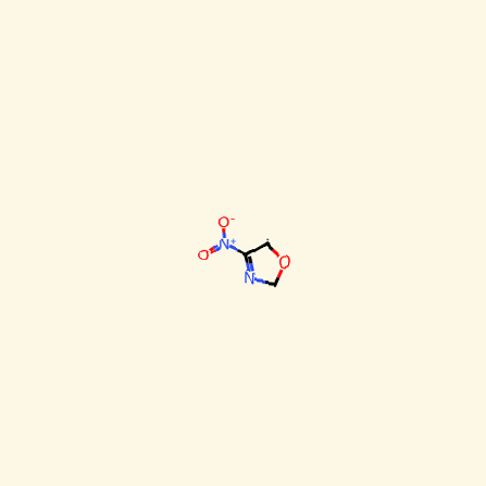 O=[N+]([O-])C1=NCO[CH]1